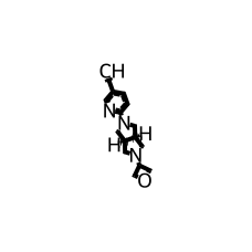 C#Cc1ccc(N2C[C@@H]3CN(C4COC4)C[C@@H]3C2)nc1